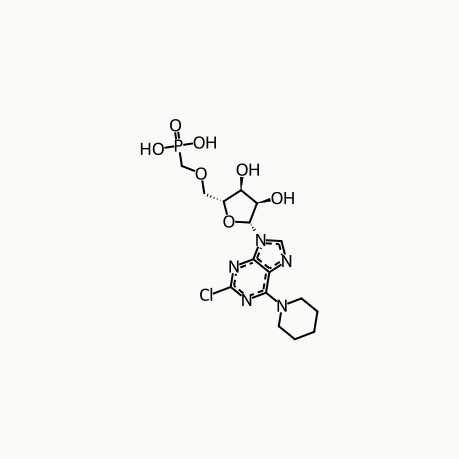 O=P(O)(O)COC[C@H]1O[C@@H](n2cnc3c(N4CCCCC4)nc(Cl)nc32)[C@H](O)[C@@H]1O